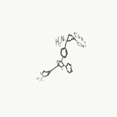 CN1CC(c2nc(-c3ccc([C@]4(N)C[C@](C)(O)C4)cc3)c(-c3ccccc3)s2)C=N1